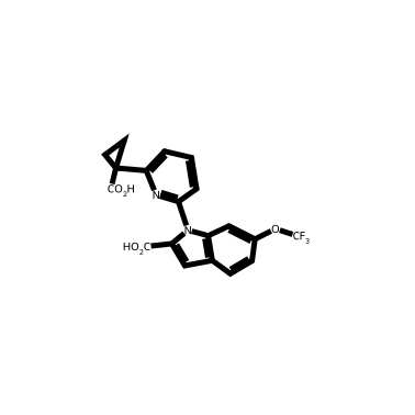 O=C(O)c1cc2ccc(OC(F)(F)F)cc2n1-c1cccc(C2(C(=O)O)CC2)n1